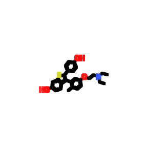 CCN(CC)CCOc1ccc(C)c(-c2c(-c3ccc(O)cc3)sc3cc(O)ccc23)c1